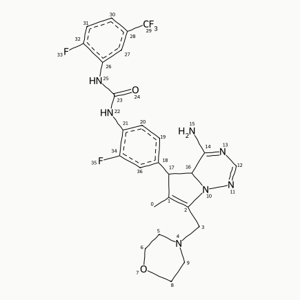 CC1=C(CN2CCOCC2)N2N=CN=C(N)C2C1c1ccc(NC(=O)Nc2cc(C(F)(F)F)ccc2F)c(F)c1